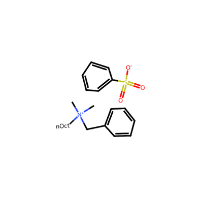 CCCCCCCC[N+](C)(C)Cc1ccccc1.O=S(=O)([O-])c1ccccc1